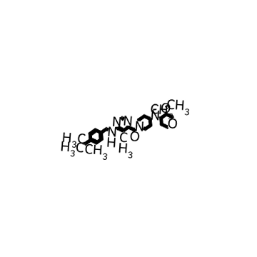 CO[C@@H]1COCC[C@@H]1N(C)C1CCN(C(=O)c2ncnc(NCc3ccc(C(C)(C)C)cc3)c2C)CC1